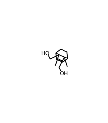 CC1(CO)C2C=CC(CC2)C1(C)CO